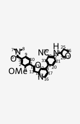 COc1cc(C(=O)N(C)C)ccc1-c1cc2nccc(-c3ccc(NC4CCOC4)c(C#N)c3)c2o1